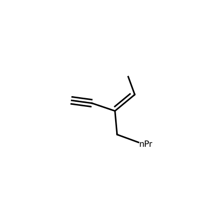 C#CC(=CC)CCCC